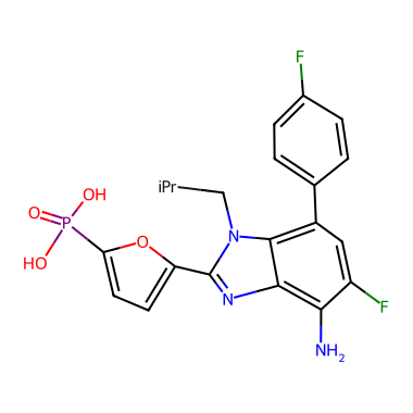 CC(C)Cn1c(-c2ccc(P(=O)(O)O)o2)nc2c(N)c(F)cc(-c3ccc(F)cc3)c21